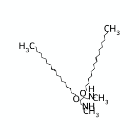 CCCCCCCCC=CCCCCCCCCOC(CNC)C(CNC)OCCCCCCCCC=CCCCCCCCC